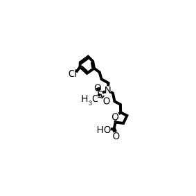 CS(=O)(=O)N(CCCc1cccc(Cl)c1)CCCC1CCC(C(=O)O)O1